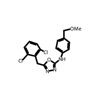 COCc1ccc(Nc2nnc(Cc3c(Cl)cccc3Cl)o2)cc1